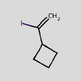 C=C(I)C1CCC1